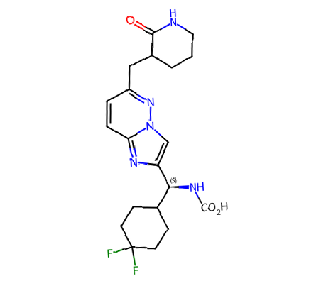 O=C(O)N[C@H](c1cn2nc(CC3CCCNC3=O)ccc2n1)C1CCC(F)(F)CC1